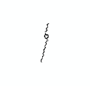 CCCCCCCCCCCCOc1ccc(SCCCCC)cc1